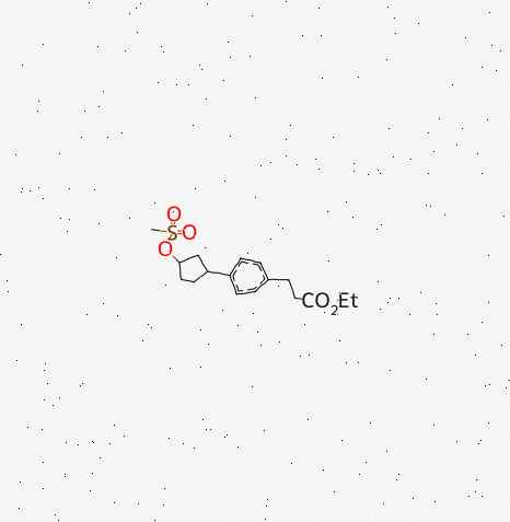 CCOC(=O)CCc1ccc(C2CCC(OS(C)(=O)=O)C2)cc1